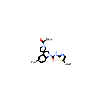 CNC(=O)N1CCC2(C1)CN(C(=O)Nc1ncc(OC)s1)c1ccc(C(F)(F)F)cc12